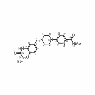 CC[C@H]1Oc2ccc(CN3CCN(c4cnc(C(=O)NC)cn4)CC3)cc2NC1=O